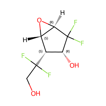 OCC(F)(F)[C@@H]1[C@@H]2O[C@H]2C(F)(F)[C@@H]1O